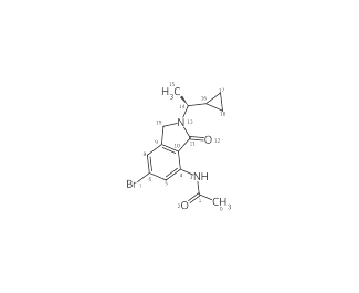 CC(=O)Nc1cc(Br)cc2c1C(=O)N([C@@H](C)C1CC1)C2